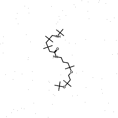 CC(C)(CNC(C)(C)C)CC(C)(C)CC(=O)NCCCC(C)(C)OCCC(C)(C)OC(C)(C)C